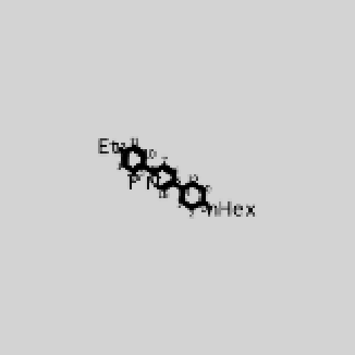 CCCCCCC1CCC(c2ccc(-c3ccc(CC)cc3F)nc2)CC1